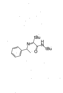 CC(N=C(C(=O)NC(C)(C)C)C(C)(C)C)c1ccccc1